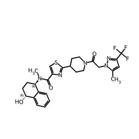 Cc1cc(C(F)(F)F)nn1CC(=O)N1CCC(c2nc(C(=O)N(C)[C@@H]3CC[C@@H](O)c4ccccc43)cs2)CC1